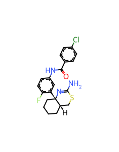 NC1=N[C@@]2(c3cc(NC(=O)c4ccc(Cl)cc4)ccc3F)CCCC[C@H]2CS1